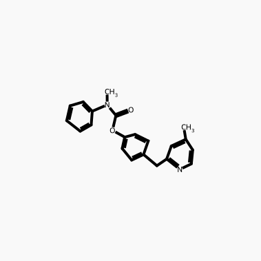 Cc1ccnc(Cc2ccc(OC(=O)N(C)c3ccccc3)cc2)c1